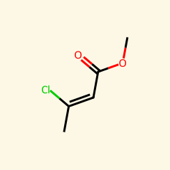 COC(=O)C=C(C)Cl